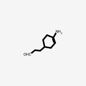 NC1=CCC(CCC=O)CC1